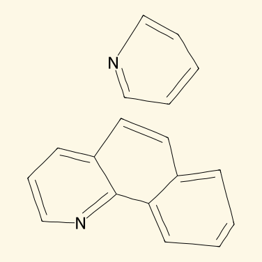 c1ccc2c(c1)ccc1cccnc12.c1ccncc1